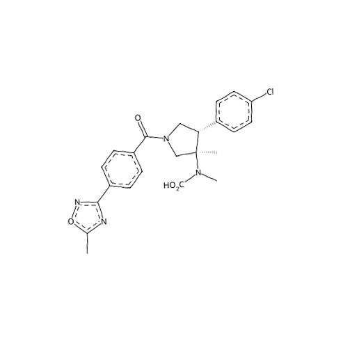 Cc1nc(-c2ccc(C(=O)N3C[C@H](c4ccc(Cl)cc4)[C@@](C)(N(C)C(=O)O)C3)cc2)no1